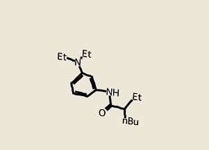 CCCCC(CC)C(=O)Nc1cccc(N(CC)CC)c1